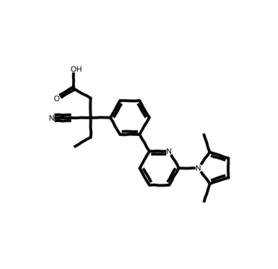 CCC(C#N)(CC(=O)O)c1cccc(-c2cccc(-n3c(C)ccc3C)n2)c1